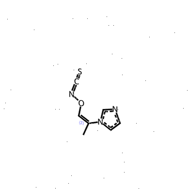 C/C(=C/ON=C=S)n1ccnc1